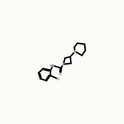 O=C(Nc1ccccc1Cl)N1CC(N2CCCCC2)C1